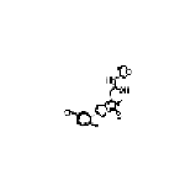 Cn1c(CC(O)N[C@@H]2CCOC2)c2n(c1=S)C[C@H](c1cc(Cl)ccc1F)C2